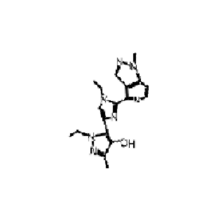 CCn1cc(-c2c(O)c(C)nn2CC)nc1-c1nccc2c1cnn2C